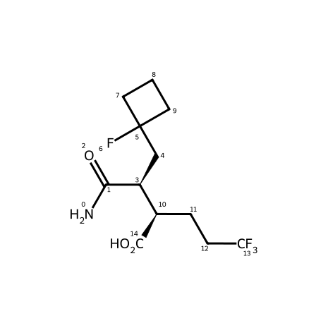 NC(=O)[C@@H](CC1(F)CCC1)[C@@H](CCC(F)(F)F)C(=O)O